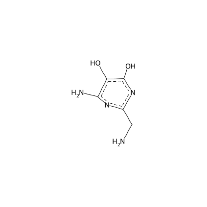 NCc1nc(N)c(O)c(O)n1